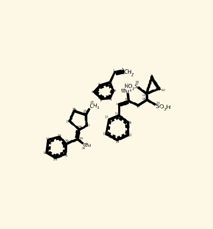 C=Cc1ccccc1.CC(C)(C)C(=Cc1ccccc1)CC(C1(S(=O)(=O)O)CC1)S(=O)(=O)O.CC1CCC(=C(c2ccccc2)C(C)(C)C)C1